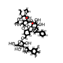 CCC[C@H](OC1C(NC(C)=O)[C@H](O[C@@H]2CC(CO[C@H]3OC(CO)[C@@H](O)C(n4cc(-c5cc(F)c(F)c(F)c5)nn4)C3O)CC(n3cc(-c4ccccc4)nn3)C2O[C@@H]2OC(C)[C@@H](O)C(O)C2O)OC(CO)[C@@H]1O)C(=O)N1CCC1